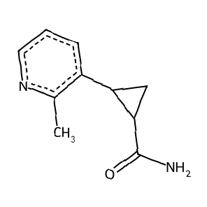 Cc1ncccc1C1CC1C(N)=O